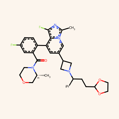 Cc1nc(F)c2c(-c3ccc(F)cc3C(=O)N3CCOC[C@H]3C)cc(C3CN(C(CCC4OCCO4)C(C)C)C3)cn12